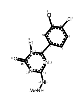 CCn1c(-c2ccc(Cl)c(Cl)c2)nc(NNC)nc1=O